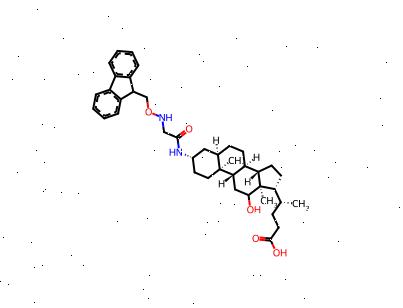 C[C@H](CCC(=O)O)[C@H]1CC[C@H]2[C@@H]3CC[C@@H]4C[C@@H](NC(=O)CNOCC5c6ccccc6-c6ccccc65)CC[C@]4(C)[C@H]3CC(O)[C@]12C